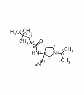 CC(C)N1CCC(C#N)(NC(=O)[CH]CC(C)(C)C)C1